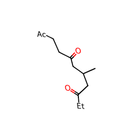 CCC(=O)CC(C)CC(=O)CCC(C)=O